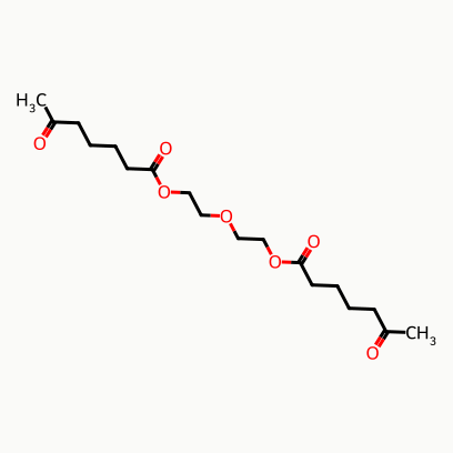 CC(=O)CCCCC(=O)OCCOCCOC(=O)CCCCC(C)=O